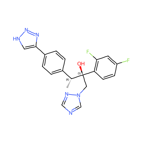 C[C@H](c1ccc(-c2c[nH]nn2)cc1)[C@@](O)(Cn1cncn1)c1ccc(F)cc1F